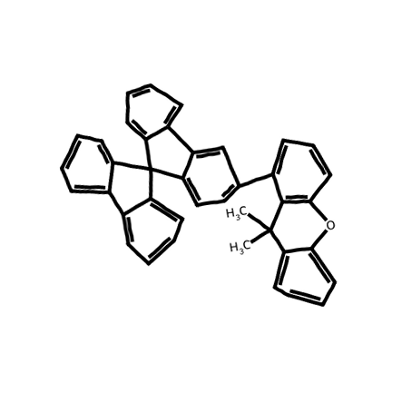 CC1(C)c2ccccc2Oc2cccc(-c3ccc4c(c3)-c3ccccc3C43c4ccccc4-c4ccccc43)c21